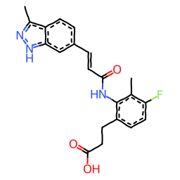 Cc1c(F)ccc(CCC(=O)O)c1NC(=O)C=Cc1ccc2c(C)n[nH]c2c1